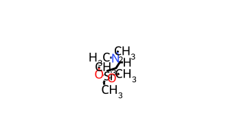 [2H]C(CC[Si](CC)(OC)OC)N(C)C